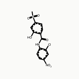 CS(=O)(=O)c1ccc(C(=O)Nc2ccc([N+](=O)[O-])cc2Cl)c(O)c1